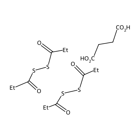 CCC(=O)SSC(=O)CC.CCC(=O)SSC(=O)CC.O=C(O)CCC(=O)O